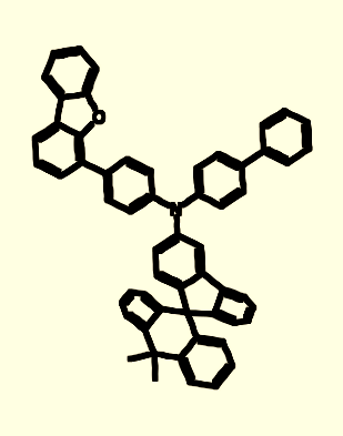 CC1(C)c2ccccc2C2(c3ccccc3-c3cc(N(c4ccc(-c5ccccc5)cc4)c4ccc(-c5cccc6c5oc5ccccc56)cc4)ccc32)c2ccccc21